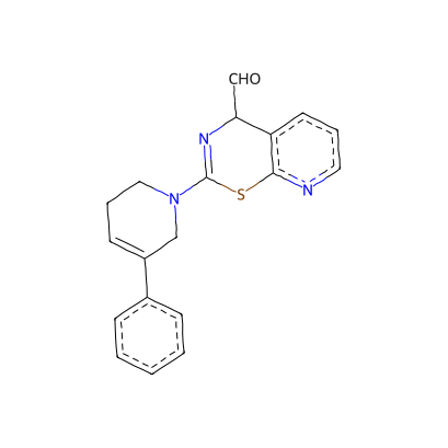 O=CC1N=C(N2CCC=C(c3ccccc3)C2)Sc2ncccc21